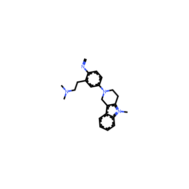 C=Nc1ccc(N2CCc3c(c4ccccc4n3C)C2)cc1CCN(C)C